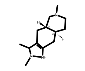 CC1C2=C(C[C@@H]3CCN(C)C[C@H]3C2)NN1C